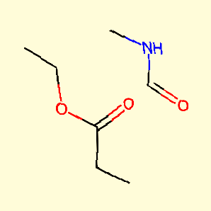 CCOC(=O)CC.CNC=O